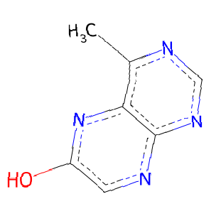 Cc1ncnc2ncc(O)nc12